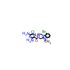 CCn1c(CNC(=O)c2nc(Cl)c(N)nc2N)[n+](C)c2cccc(Br)c21